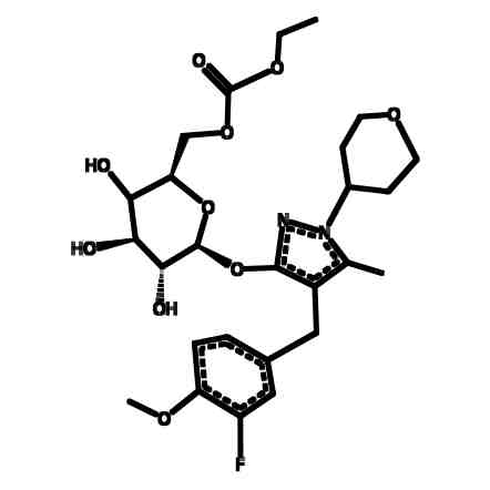 CCOC(=O)OC[C@H]1O[C@@H](Oc2nn(C3CCOCC3)c(C)c2Cc2ccc(OC)c(F)c2)[C@H](O)[C@@H](O)C1O